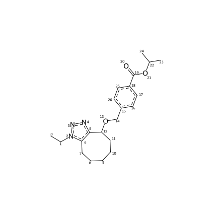 CCn1nnc2c1CCCCCC2OCc1ccc(C(=O)OC(C)C)cc1